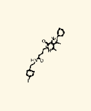 Cc1nn(CCCC(=O)NCCc2ccc(F)cc2)c(=O)c2nn(-c3ccccc3)c(C)c12